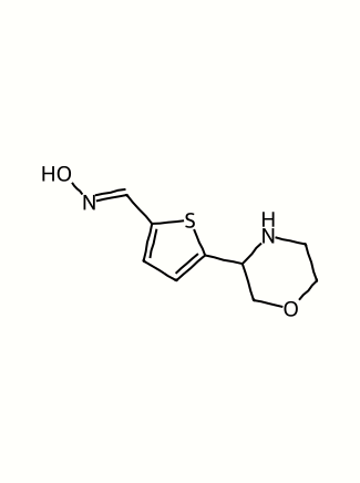 O/N=C/c1ccc(C2COCCN2)s1